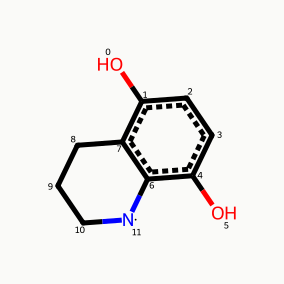 Oc1ccc(O)c2c1CCC[N]2